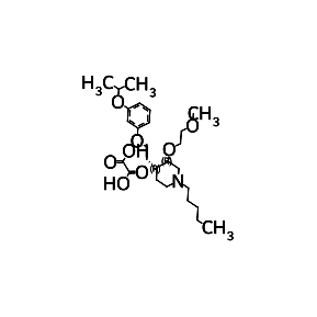 CCCCCN1CC[C@H](CCOc2cccc(OC(C)C)c2)[C@@H](OCCOC)C1.O=C(O)C(=O)O